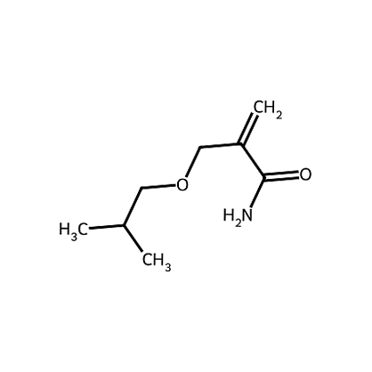 C=C(COCC(C)C)C(N)=O